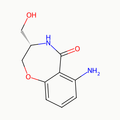 Nc1cccc2c1C(=O)N[C@@H](CO)CO2